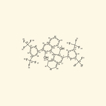 Oc1c(-c2cc(C(F)(F)F)cc(C(F)(F)F)c2)cc2c(c1-c1c(O)c(-c3cc(C(F)(F)F)cc(C(F)(F)F)c3)cc3ccccc13)=CCCC=2